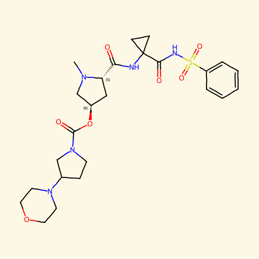 CN1C[C@H](OC(=O)N2CCC(N3CCOCC3)C2)C[C@H]1C(=O)NC1(C(=O)NS(=O)(=O)c2ccccc2)CC1